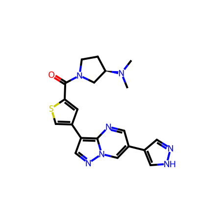 CN(C)[C@@H]1CCN(C(=O)c2cc(-c3cnn4cc(-c5cn[nH]c5)cnc34)cs2)C1